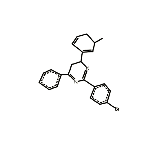 CC1C=C(C2CC(c3ccccc3)=NC(c3ccc(Br)cc3)=N2)C=CC1